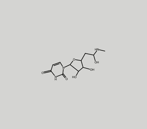 CNC(O)CC1OC(n2ccc(=O)[nH]c2=O)C(O)C1O